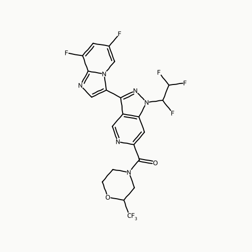 O=C(c1cc2c(cn1)c(-c1cnc3c(F)cc(F)cn13)nn2C(F)C(F)F)N1CCOC(C(F)(F)F)C1